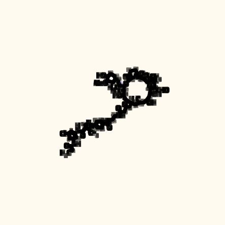 C=CC(=O)Nc1cc(Cl)cc(NC(=O)c2cnn(-c3ccc(C(=O)NCCNC(=O)CCC[C@@H]4/C=C(\C)C[C@H](O)C[C@H](O)[C@H]5O[C@@](O)(C(=O)C(=O)N6CCCC[C@H]6C(=O)O[C@H](/C(C)=C/[C@@H]6CC[C@@H](O)[C@H](OC)C6)[C@H](C)[C@@H](O)CC4=O)[C@H](C)C[C@@H]5C=O)cc3)c2C(F)(F)F)c1